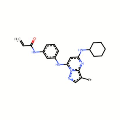 C=CC(=O)Nc1cccc(Nc2cc(NC3CCCCC3)nc3c(CC)cnn23)c1